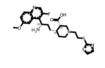 COc1ccc2ncc(F)c([C@@H](N)CC[C@H]3CCN(CCSc4nccs4)C[C@H]3C(=O)O)c2c1